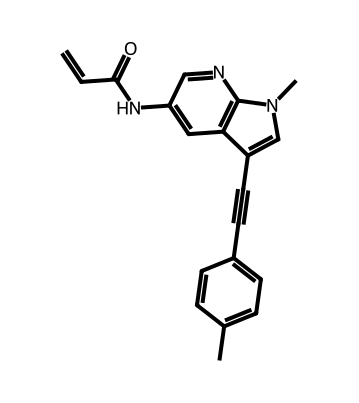 C=CC(=O)Nc1cnc2c(c1)c(C#Cc1ccc(C)cc1)cn2C